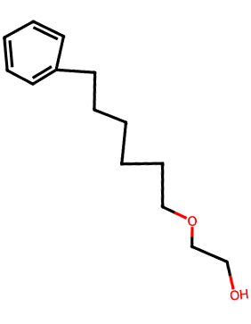 OCCOCCCCCCc1ccccc1